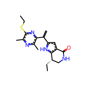 C=C(c1cc2c([nH]1)[C@@H](CC)CNC2=O)c1nc(SCC)c(C)nc1C